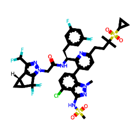 Cn1nc(NS(C)(=O)=O)c2c(Cl)ccc(-c3ccc(CCC(C)(C)S(=O)(=O)C4CC4)nc3[C@H](Cc3cc(F)cc(F)c3)NC(=O)Cn3nc(C(F)F)c4c3C(F)(F)C3C[C@H]43)c21